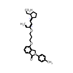 C=C/C(=C\C=C1/CCCC1CC(=O)O)OCCCOc1cccc2c1CN(c1ccc(C)cc1)C2=O